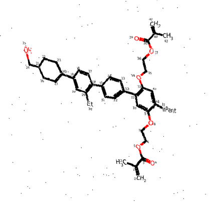 C=C(C)C(=O)OCCOc1cc(-c2ccc(-c3ccc(C4CCC(CO)CC4)cc3CC)cc2)c(OCCOC(=O)C(=C)C)cc1CCCCC